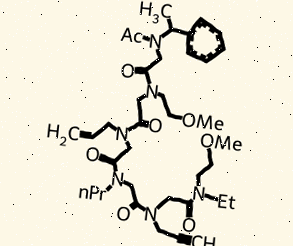 C#CCN(CC(=O)N(CC)CCOC)C(=O)CN(CCC)C(=O)CN(CC=C)C(=O)CN(CCOC)C(=O)CN(C(C)=O)C(C)c1ccccc1